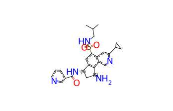 CC(C)CNS(=O)(=O)c1cc2c(c3cnc(C4CC4)cc13)[C@@H](N)C[C@@H]2NC(=O)c1cccnc1